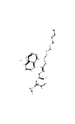 CCCCCCCCCCCCCC(=O)NC(CC)N1CC1.Cl.c1ccc2ccccc2c1